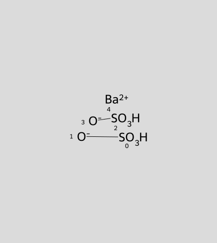 O=S(=O)([O-])O.O=S(=O)([O-])O.[Ba+2]